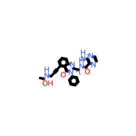 CC(O)NCC#Cc1cccc2nc([C@@H](C)NC(=O)c3nccnc3N)n(-c3ccccc3)c(=O)c12